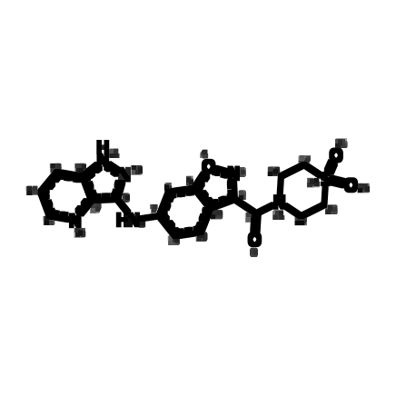 O=C(c1noc2cc(Nc3n[nH]c4cccnc34)ccc12)N1CCS(=O)(=O)CC1